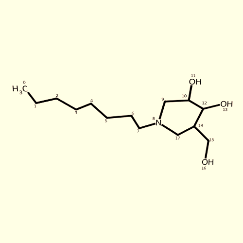 CCCCCCCCN1CC(O)C(O)C(CO)C1